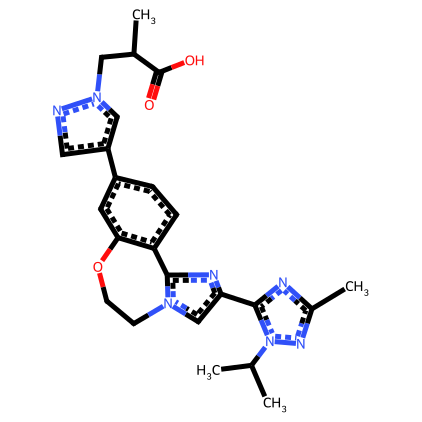 Cc1nc(-c2cn3c(n2)-c2ccc(-c4cnn(CC(C)C(=O)O)c4)cc2OCC3)n(C(C)C)n1